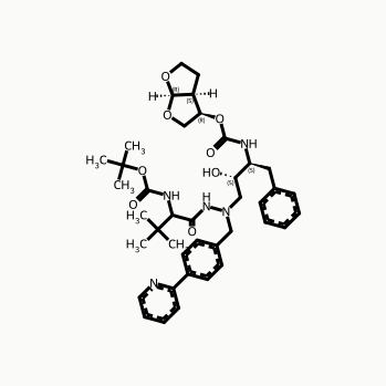 CC(C)(C)OC(=O)NC(C(=O)NN(Cc1ccc(-c2ccccn2)cc1)C[C@H](O)[C@H](Cc1ccccc1)NC(=O)O[C@H]1CO[C@H]2OCC[C@H]21)C(C)(C)C